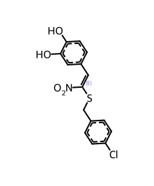 O=[N+]([O-])/C(=C\c1ccc(O)c(O)c1)SCc1ccc(Cl)cc1